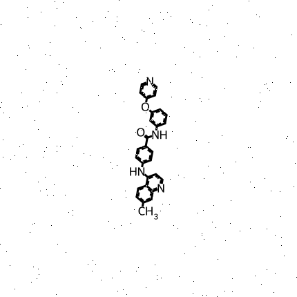 Cc1ccc2c(Nc3ccc(C(=O)Nc4cccc(Oc5ccncc5)c4)cc3)ccnc2c1